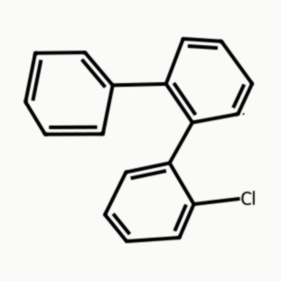 Clc1ccccc1-c1[c]cccc1-c1ccccc1